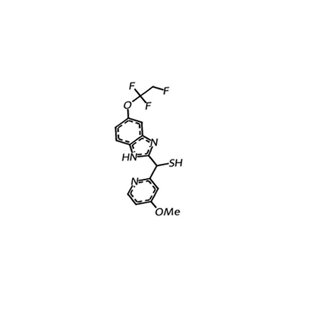 COc1ccnc(C(S)c2nc3cc(OC(F)(F)CF)ccc3[nH]2)c1